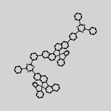 c1ccc(-c2nc(-c3ccccc3)nc(-c3ccc(-c4ccc5c6c(ccc5c4)-c4c(ccc5cc(-c7cccc(-c8nc(-c9ccccc9)nc(-c9ccc%10c%11c(ccc%10c9)-c9c(ccc%10ccccc9%10)C%119c%10ccccc%10-c%10ccccc%109)n8)c7)ccc45)C64c5ccccc5-c5ccccc54)cc3)n2)cc1